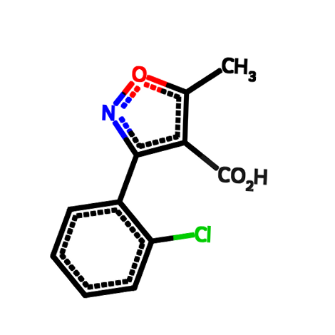 Cc1onc(-c2ccccc2Cl)c1C(=O)O